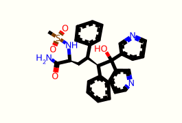 CS(=O)(=O)N[C@@H](CC(c1ccccc1)[C@H](c1ccccc1)C(O)(c1cccnc1)c1cccnc1)C(N)=O